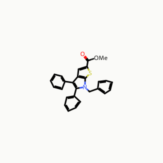 COC(=O)c1cc2c(-c3ccccc3)c(-c3ccccc3)n(Cc3ccccc3)c2s1